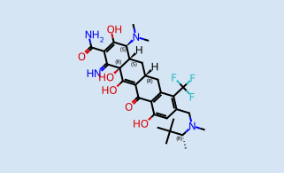 C[C@@H](N(C)Cc1cc(O)c2c(c1C(F)(F)F)C[C@H]1C[C@H]3[C@H](N(C)C)C(O)=C(C(N)=O)C(=N)[C@@]3(O)C(O)=C1C2=O)C(C)(C)C